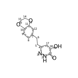 O=c1[nH]nc(CCc2ccc3c(c2)OCCO3)cc1O